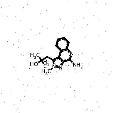 Cn1nc2c(N)nc3ccccc3c2c1CC(C)(C)O